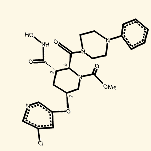 COC(=O)N1C[C@@H](Oc2cncc(Cl)c2)C[C@H](C(=O)NO)[C@H]1C(=O)N1CCN(c2ccccc2)CC1